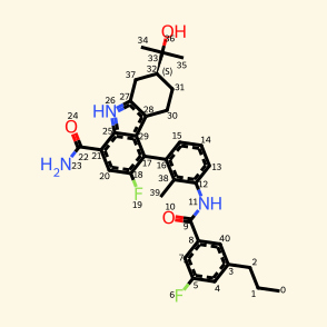 CCCc1cc(F)[c]c(C(=O)Nc2cccc(-c3c(F)cc(C(N)=O)c4[nH]c5c(c34)CC[C@H](C(C)(C)O)C5)c2C)c1